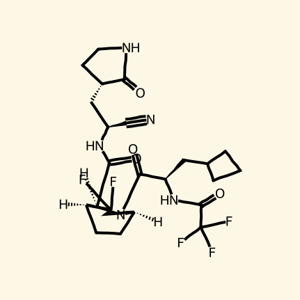 N#C[C@H](C[C@@H]1CCNC1=O)NC(=O)[C@@H]1[C@@H]2CC[C@@H](CC2(F)F)N1C(=O)[C@@H](CC1CCC1)NC(=O)C(F)(F)F